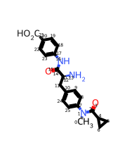 CN(C(=O)C1CC1)c1ccc(C[C@H](N)C(=O)Nc2ccc(C(=O)O)cc2)cc1